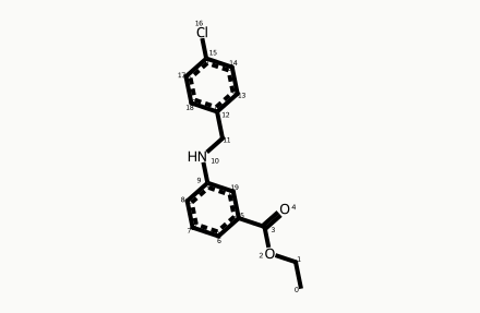 CCOC(=O)c1cccc(NCc2ccc(Cl)cc2)c1